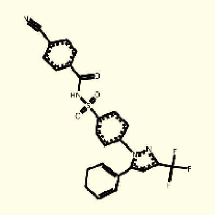 N#Cc1ccc(C(=O)NS(=O)(=O)c2ccc(-n3nc(C(F)(F)F)cc3C3=CCCC=C3)cc2)cc1